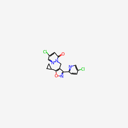 O=c1cc(Cl)cnn1Cc1c(-c2ccc(Cl)cn2)noc1C1CC1